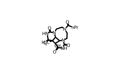 CCCC(=O)N1CCN2C(=O)NC(=O)C3(C)C2C2N(CC1)C(=O)NC(=O)C23C